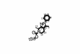 Cc1c2c(nn1-c1ccccc1)[C@H](C)N(C(=O)OC(C)(C)C)CC2